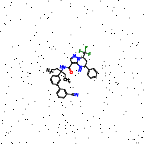 CCC(CC)(NC(=O)c1cnn2c1NC(c1ccccc1)CC2C(F)(F)F)c1cccc(-c2cccc(C#N)c2)c1